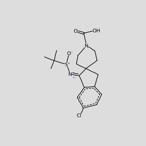 CC(C)(C)[S+]([O-])/N=C1/c2cc(Cl)ccc2CC12CCN(C(=O)O)CC2